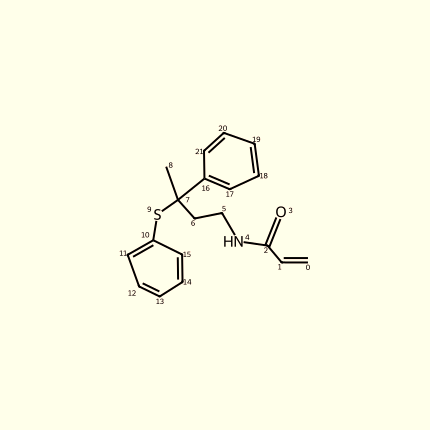 C=CC(=O)NCCC(C)(Sc1ccccc1)c1ccccc1